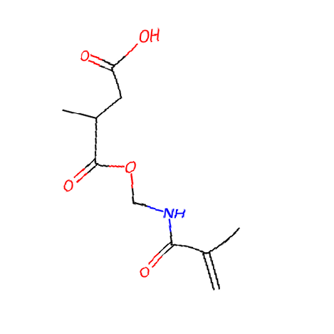 C=C(C)C(=O)NCOC(=O)C(C)CC(=O)O